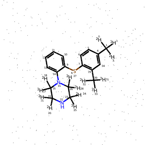 [2H]C([2H])([2H])c1ccc(Sc2ccccc2N2C([2H])([2H])C([2H])([2H])NC([2H])([2H])C2([2H])[2H])c(C([2H])([2H])[2H])c1